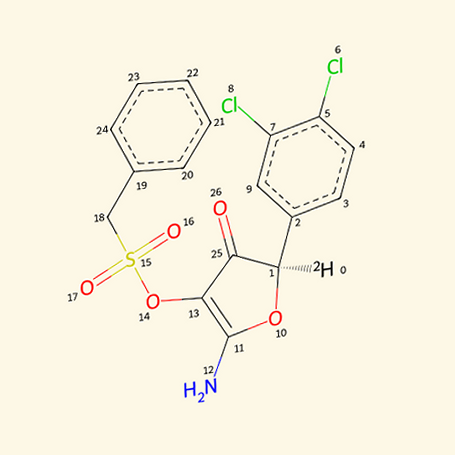 [2H][C@]1(c2ccc(Cl)c(Cl)c2)OC(N)=C(OS(=O)(=O)Cc2ccccc2)C1=O